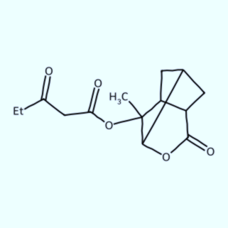 CCC(=O)CC(=O)OC1(C)C2CC3CC2C(=O)OC31